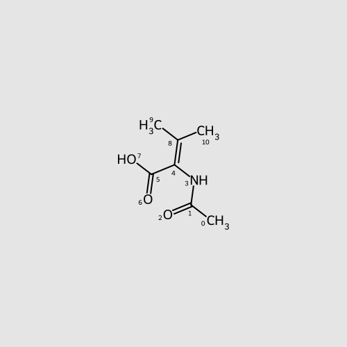 CC(=O)NC(C(=O)O)=C(C)C